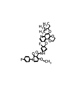 CCOc1ccn(-c2ccc(F)cc2)c(=O)c1C(=O)Nc1ccc(Oc2ccnc3cc(OC(CC)N(C)C)c4c(c23)OCCO4)c(F)c1